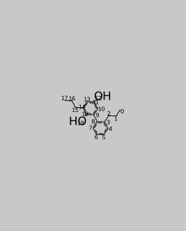 CCCc1ccccc1-c1cc(O)cc(CCC)c1O